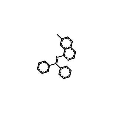 Cc1ccc2ccnc(N=C(c3ccccc3)c3ccccc3)c2c1